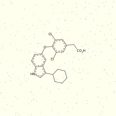 O=C(O)Cc1cc(Cl)c(Oc2ccc3[nH]cc(C4CCCCC4)c3c2)c(Cl)c1